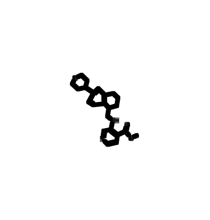 COC(=O)c1ccncc1NCC1CCCc2cc(C3CCOCC3)ccc21